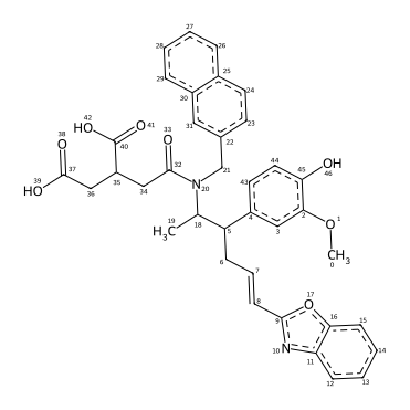 COc1cc(C(C/C=C/c2nc3ccccc3o2)C(C)N(Cc2ccc3ccccc3c2)C(=O)CC(CC(=O)O)C(=O)O)ccc1O